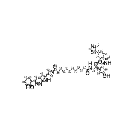 Cc1ncsc1-c1ccc([C@H](C)NC(=O)[C@@H]2C[C@@H](O)CN2C(=O)CNC(=O)CCCCCCCCCCC(=O)N2CC(c3cc4cc(-c5ccccc5O)nnc4[nH]3)C2)cc1